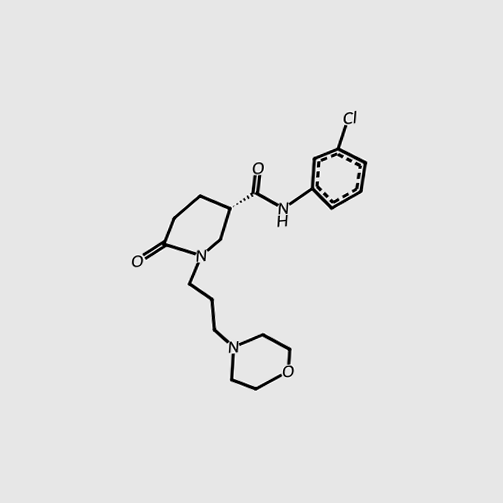 O=C(Nc1cccc(Cl)c1)[C@H]1CCC(=O)N(CCCN2CCOCC2)C1